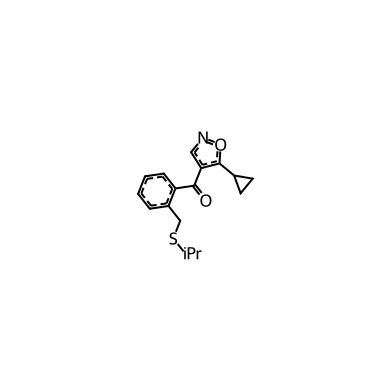 CC(C)SCc1ccccc1C(=O)c1cnoc1C1CC1